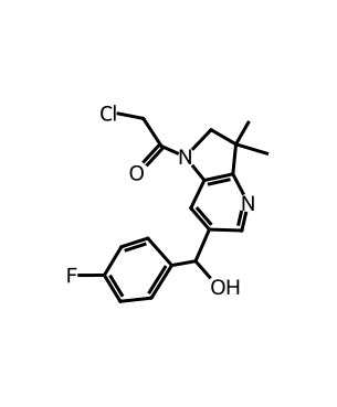 CC1(C)CN(C(=O)CCl)c2cc(C(O)c3ccc(F)cc3)cnc21